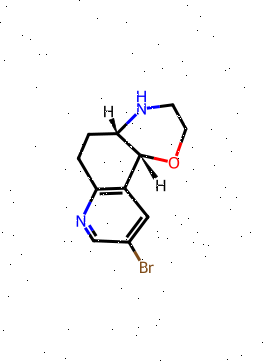 Brc1cnc2c(c1)[C@H]1OCCN[C@H]1CC2